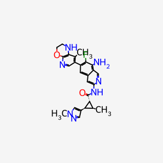 Cc1c(-c2cc3cc(NC(=O)[C@@H]4[C@@H](C)[C@H]4c4cnn(C)c4)ncc3c(N)c2F)cnc2c1NCCO2